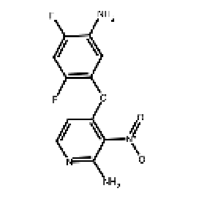 Nc1cc(Oc2ccnc(N)c2[N+](=O)[O-])c(F)cc1F